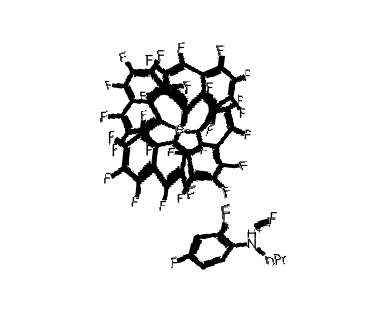 CCC[NH+](CF)c1ccc(F)cc1F.Fc1c(F)c(F)c2c([B-](c3c(F)c(F)c(F)c4c(F)c(F)c(F)c(F)c34)(c3c(F)c(F)c(F)c4c(F)c(F)c(F)c(F)c34)c3c(F)c(F)c(F)c4c(F)c(F)c(F)c(F)c34)c(F)c(F)c(F)c2c1F